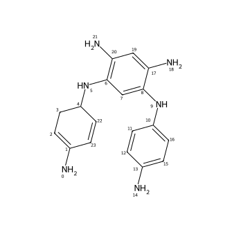 NC1=CCC(Nc2cc(Nc3ccc(N)cc3)c(N)cc2N)C=C1